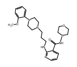 COc1ccccc1N1CCN(CCCNc2ncccc2C(=O)NN2CCOCC2)CC1